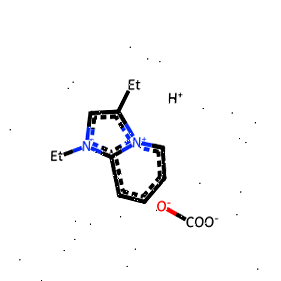 CCc1cn(CC)c2cccc[n+]12.O=C([O-])[O-].[H+]